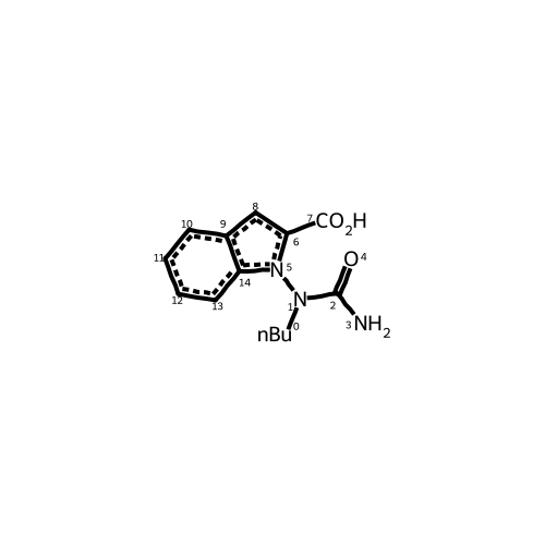 CCCCN(C(N)=O)n1c(C(=O)O)cc2ccccc21